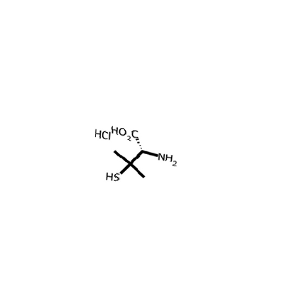 CC(C)(S)[C@@H](N)C(=O)O.Cl